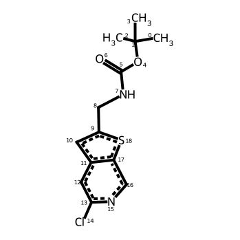 CC(C)(C)OC(=O)NCc1cc2cc(Cl)ncc2s1